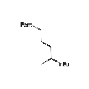 [CH2]CCC(C)CCCC(C)CCCC